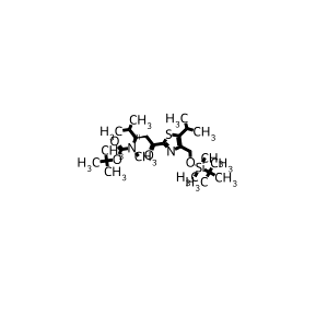 CC(C)c1sc(C(=O)C[C@H](C(C)C)N(C)C(=O)OC(C)(C)C)nc1CO[Si](C)(C)C(C)(C)C